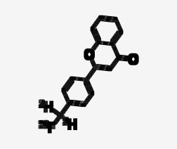 [2H]C([2H])([18F])c1ccc(-c2cc(=O)c3ccccc3o2)cc1